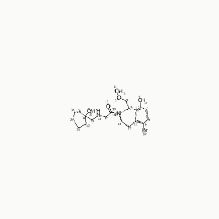 COCC1c2c(C)ccc(Br)c2CCN1C(=O)CNCC1(O)CCCCC1